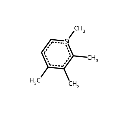 Cc1cc[si](C)c(C)c1C